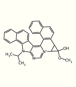 COC1(O)C2c3ccc4ccccc4c3-c3c4c5ccc6ccccc6c5n(C(C)C)c4nc[n+]3C21